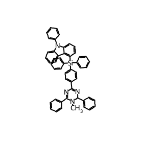 CN1C(c2ccccc2)=NC(c2ccc([Si](c3ccccc3)(c3ccccc3)c3cccc4c3c3ccccc3n4-c3ccccc3)cc2)=NC1c1ccccc1